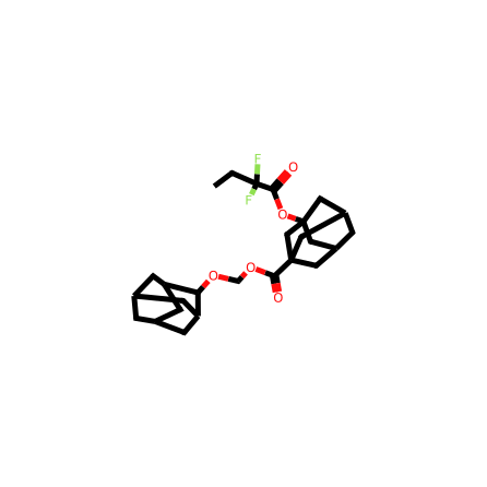 CCC(F)(F)C(=O)OC12CC3CC(C1)CC(C(=O)OCOC1C4CC5CC(C4)CC1C5)(C3)C2